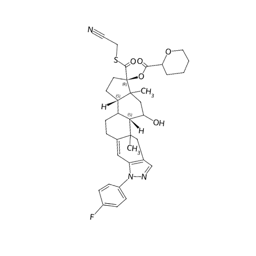 CC12Cc3cnn(-c4ccc(F)cc4)c3C=C1CCC1[C@@H]2C(O)CC2(C)[C@H]1CC[C@]2(OC(=O)C1CCCCO1)C(=O)SCC#N